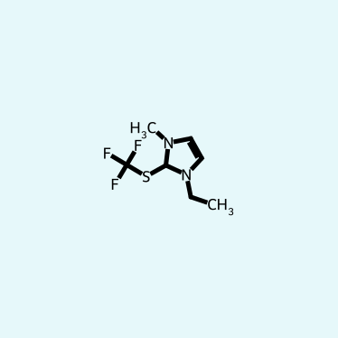 CCN1C=CN(C)C1SC(F)(F)F